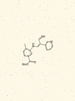 COC(=O)c1ccc(C)c(N/C=C(\C=N)c2cccnc2)c1